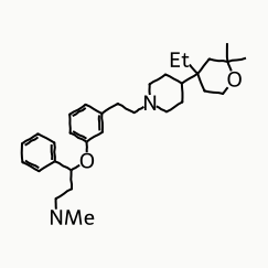 CCC1(C2CCN(CCc3cccc(OC(CCNC)c4ccccc4)c3)CC2)CCOC(C)(C)C1